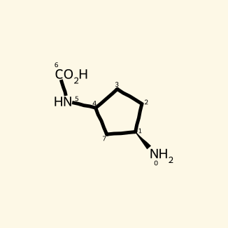 N[C@@H]1CCC(NC(=O)O)C1